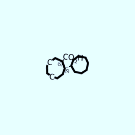 O=C(O)[C@H]1CCCCCCC[C@H]1C1CCCCCCC1